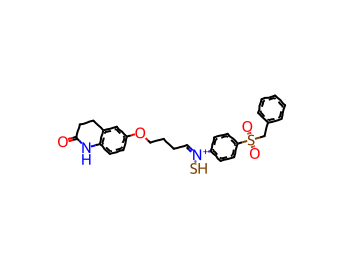 O=C1CCc2cc(OCCCC=[N+](S)c3ccc(S(=O)(=O)Cc4ccccc4)cc3)ccc2N1